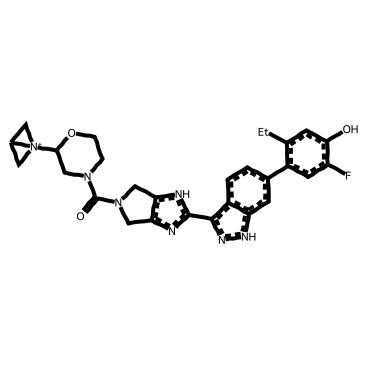 CCc1cc(O)c(F)cc1-c1ccc2c(-c3nc4c([nH]3)CN(C(=O)N3CCOC([N+]56CC5C6)C3)C4)n[nH]c2c1